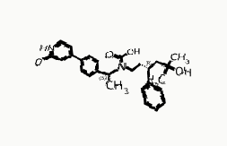 C[C@@H](c1ccc(-c2cc[nH]c(=O)c2)cc1)N(CC[C@H](CC(C)(C)O)c1ccccc1)C(=O)O